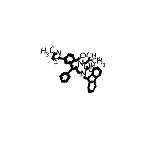 Cc1csc(-c2ccc3c(=O)n(CC(C)C)c(CN(CC4c5ccccc5-c5ccccc54)C(=O)O)c(-c4ccccc4)c3c2)n1